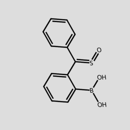 O=S=C(c1ccccc1)c1ccccc1B(O)O